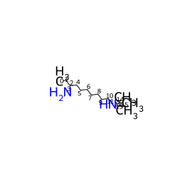 CCC(N)CCCCCCCNC(C)(C)C